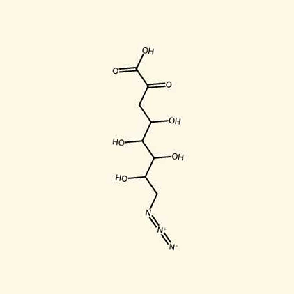 [N-]=[N+]=NCC(O)C(O)C(O)C(O)CC(=O)C(=O)O